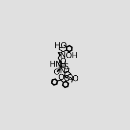 CC(=O)OCC1=C(C(=O)OC(c2ccccc2)c2ccccc2)N2C(=O)[C@@H](NC(=O)Cc3csc(-c4c(O)cccc4O)n3)[C@H]2SC1